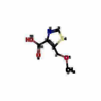 COCc1scnc1C(=O)O